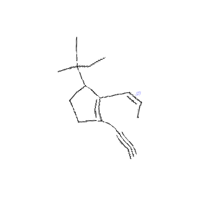 C#CC1=C(/C=C\C)C(C(C)(C)C)CC1